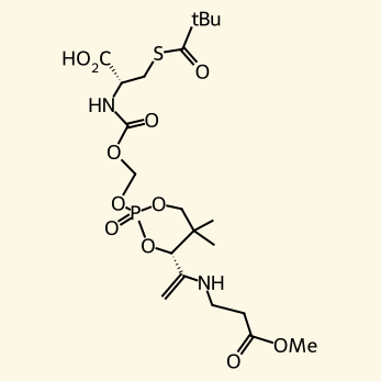 C=C(NCCC(=O)OC)[C@@H]1OP(=O)(OCOC(=O)N[C@@H](CSC(=O)C(C)(C)C)C(=O)O)OCC1(C)C